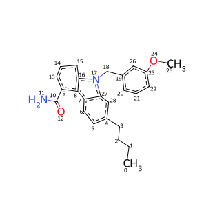 CCCCc1c[c]c2c3c(C(N)=O)cccc3n(Cc3cccc(OC)c3)c2c1